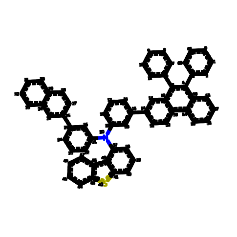 c1ccc(-c2c(-c3ccccc3)c3cc(-c4cccc(N(c5cccc(-c6ccc7ccccc7c6)c5)c5cccc6sc7ccccc7c56)c4)ccc3c3ccccc23)cc1